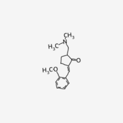 COc1ccccc1C=C1CCC(CN(C)C)C1=O